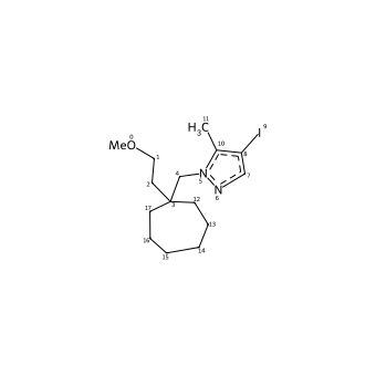 COCCC1(Cn2ncc(I)c2C)CCCCCC1